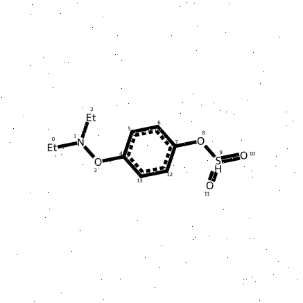 CCN(CC)Oc1ccc(O[SH](=O)=O)cc1